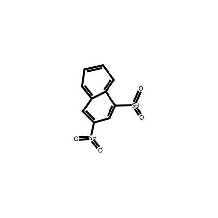 O=[SH](=O)c1cc([SH](=O)=O)c2ccccc2c1